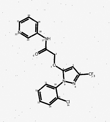 O=C(COc1cc(C(F)(F)F)nn1-c1ccccc1Cl)Nc1cccnc1